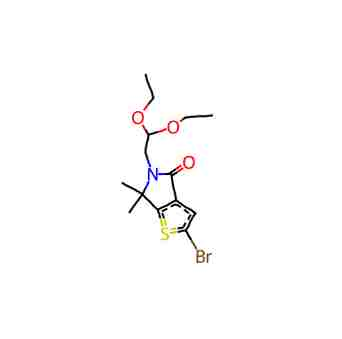 CCOC(CN1C(=O)c2cc(Br)sc2C1(C)C)OCC